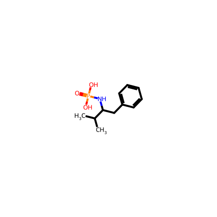 CC(C)C(Cc1ccccc1)NP(=O)(O)O